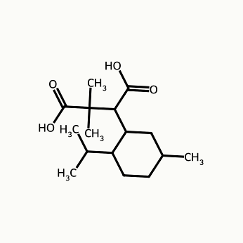 CC1CCC(C(C)C)C(C(C(=O)O)C(C)(C)C(=O)O)C1